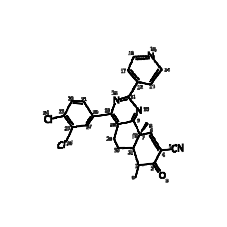 CC1C(=O)C(C#N)=C[C@@]2(C)c3nc(-c4ccncc4)nc(-c4ccc(Cl)c(Cl)c4)c3CCC12